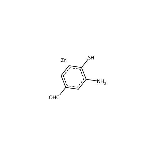 Nc1cc(C=O)ccc1S.[Zn]